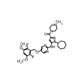 COc1cc(OC)c(F)c(COc2cnc(Nc3cc(C(=O)N4CCN(C)CC4)nn3C3CCCCCC3)nc2)c1F